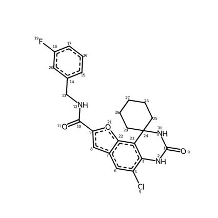 O=C1Nc2c(Cl)cc3cc(C(=O)NCc4cccc(F)c4)oc3c2C2(CCCCC2)N1